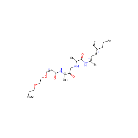 C=C/C(=C\C=C(/CC)NC(=O)C(CC)NCC(=O)[C@@H](NC(=O)/C=C\OCCOCCOC)C(C)CC)CCC(C)=O